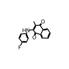 CC1=C(Nc2ccc(F)cc2)C(=O)c2ccccc2C1=O